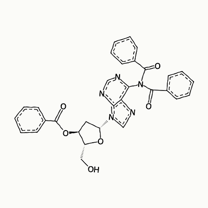 O=C(O[C@H]1C[C@H](n2cnc3c(N(C(=O)c4ccccc4)C(=O)c4ccccc4)ncnc32)O[C@@H]1CO)c1ccccc1